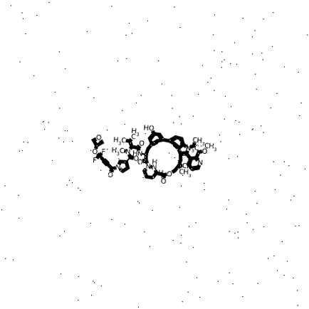 CCn1c(-c2cccnc2[C@H](C)OC)c2c3cc(ccc31)-c1cc(O)cc(c1)C[C@H](NC(=O)C(C(C)C)N(C)C(=O)[C@H]1CCN(C(=O)C#CC(F)(F)OC3COC3)C1)C(=O)N1CCC[C@H](N1)C(=O)OCC(C)(C)C2